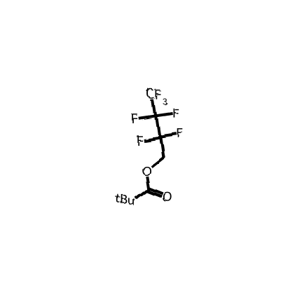 CC(C)(C)C(=O)OCC(F)(F)C(F)(F)C(F)(F)F